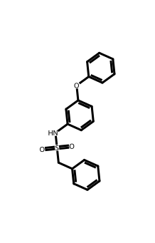 O=S(=O)(Cc1ccccc1)Nc1cccc(Oc2ccccc2)c1